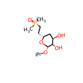 CC(C)O[C@@H]1O[C@H](CCP(C)(C)=O)C[C@@H](O)[C@H]1O